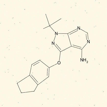 CC(C)(C)n1nc(Oc2ccc3c(c2)CCC3)c2c(N)ncnc21